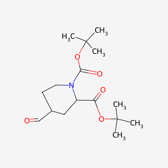 CC(C)(C)OC(=O)C1CC(C=O)CCN1C(=O)OC(C)(C)C